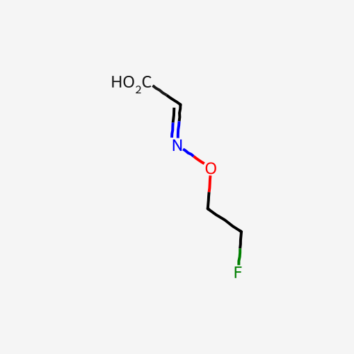 O=C(O)C=NOCCF